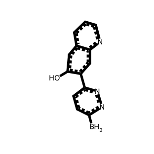 Bc1ccc(-c2cc3ncccc3cc2O)nn1